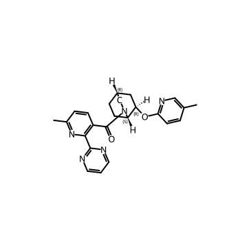 Cc1ccc(O[C@@H]2C[C@H]3CC[C@@H]2N(C(=O)c2ccc(C)nc2-c2ncccn2)C3)nc1